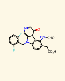 O=CNc1c(CC(=O)O)ccc2c1C1C(=O)C=NC=C1N2Cc1c(F)cccc1F